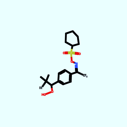 CCC(C)(C)C(OO)c1ccc(/C(=N\OS(=O)(=O)C2CCCCC2)C(F)(F)F)cc1